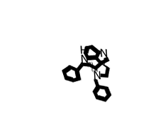 C1=Nc2ccccc2[C@]12CCN(Cc1ccccc1)[C@@H]2[C@@H]1NC1c1ccccc1